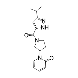 CC(C)c1cc(C(=O)N2CCC(n3ccccc3=O)C2)[nH]n1